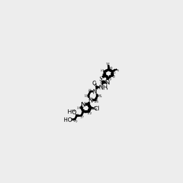 Cc1cc2nc(NC(=O)N3CCN(c4ncc(C[C@@H](O)CO)cc4Cl)CC3)sc2cc1C